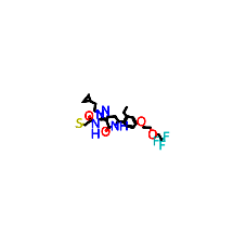 CCc1cc(OCCOCC(F)(F)F)ccc1C1Cc2nn(CCC3CC3)c(NC(=O)CSC)c2C(=O)N1